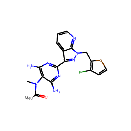 COC(=O)N(C)c1c(N)nc(-c2nn(Cc3sccc3F)c3ncccc23)nc1N